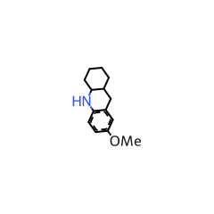 COc1ccc2c(c1)CC1CCCCC1N2